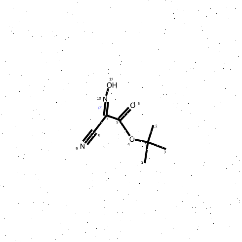 CC(C)(C)OC(=O)/C(C#N)=N\O